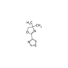 CC1(C)COC(c2cscn2)=N1